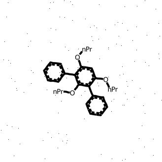 CCCOc1cc(OCCC)c(-c2ccccc2)c(OCCC)c1-c1ccccc1